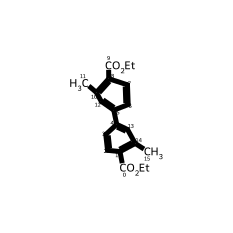 CCOC(=O)c1ccc(-c2ccc(C(=O)OCC)c(C)c2)cc1C